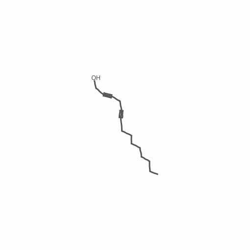 CCCCCCCCC#CCC#CCO